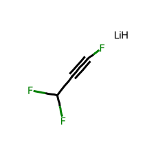 FC#CC(F)F.[LiH]